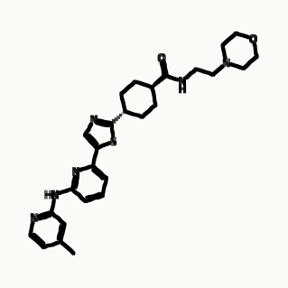 Cc1ccnc(Nc2cccc(-c3cnc([C@H]4CC[C@H](C(=O)NCCN5CCOCC5)CC4)s3)n2)c1